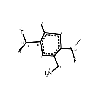 Cc1cc([C@H](C)F)c(CN)cc1[C@@H](C)F